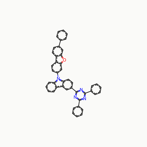 c1ccc(-c2ccc3c(c2)oc2cc(-n4c5ccccc5c5cc(-c6nc(-c7ccccc7)nc(-c7ccccc7)n6)ccc54)ccc23)cc1